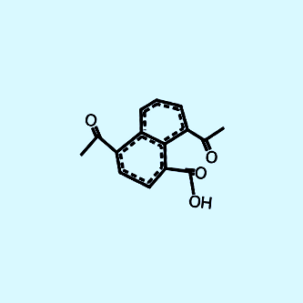 CC(=O)c1ccc(C(=O)O)c2c(C(C)=O)cccc12